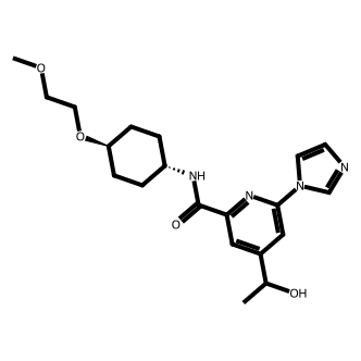 COCCO[C@H]1CC[C@H](NC(=O)c2cc(C(C)O)cc(-n3ccnc3)n2)CC1